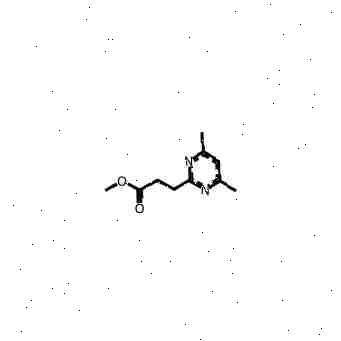 COC(=O)CCc1nc(C)cc(C)n1